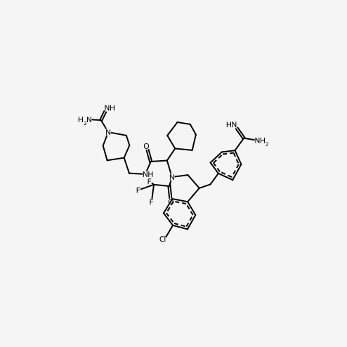 N=C(N)c1ccc(CC(CN(C(=O)C(F)(F)F)C(C(=O)NCC2CCN(C(=N)N)CC2)C2CCCCC2)c2ccc(Cl)cc2)cc1